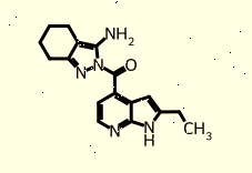 CCc1cc2c(C(=O)n3nc4c(c3N)CCCC4)ccnc2[nH]1